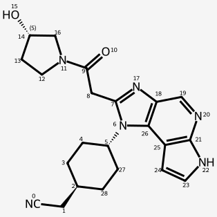 N#CC[C@H]1CC[C@H](n2c(CC(=O)N3CC[C@H](O)C3)nc3cnc4[nH]ccc4c32)CC1